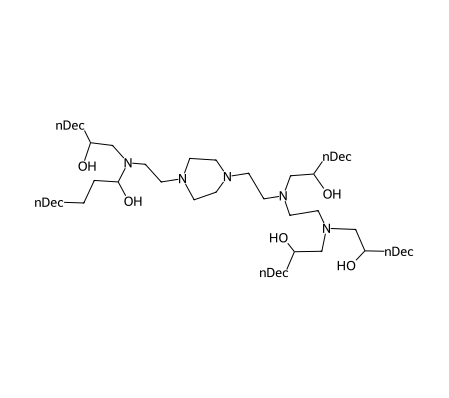 CCCCCCCCCCCCC(O)N(CCN1CCN(CCN(CCN(CC(O)CCCCCCCCCC)CC(O)CCCCCCCCCC)CC(O)CCCCCCCCCC)CC1)CC(O)CCCCCCCCCC